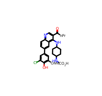 CCCC(=O)c1cnc2ccc(-c3cc(Cl)c(O)c(OC)c3)cc2c1NC1CCC(NC(=O)O)CC1